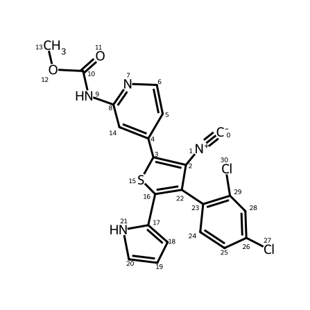 [C-]#[N+]c1c(-c2ccnc(NC(=O)OC)c2)sc(-c2ccc[nH]2)c1-c1ccc(Cl)cc1Cl